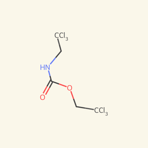 O=C(NCC(Cl)(Cl)Cl)OCC(Cl)(Cl)Cl